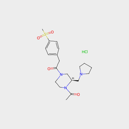 CC(=O)N1CCN(C(=O)Cc2ccc(S(C)(=O)=O)cc2)C[C@H]1CN1CCCC1.Cl